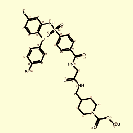 CC(C)(C)OC(=O)N1CCC(CNC(=O)CNC(=O)c2ccc(S(=O)(=O)Nc3cc(F)ccc3Oc3ccc(Br)cc3)cc2)CC1